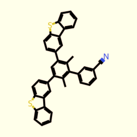 Cc1c(-c2ccc3sc4ccccc4c3c2)cc(-c2ccc3sc4ccccc4c3c2)c(C)c1-c1cccc(C#N)c1